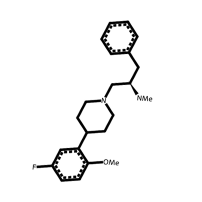 CN[C@H](Cc1ccccc1)CN1CCC(c2cc(F)ccc2OC)CC1